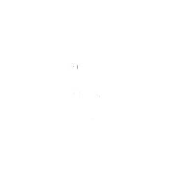 C=C[Si](Cl)(Cl)CCCC